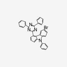 Brc1ccc2c(c1)c1c(-c3nc(-c4ccccc4)nc(-c4ccccc4)n3)cccc1n2-c1ccccc1